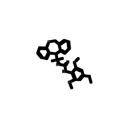 COc1cc(OC)c(NC(=O)NC(C)(C)C2c3ccccc3COc3ccccc32)c(OC)c1